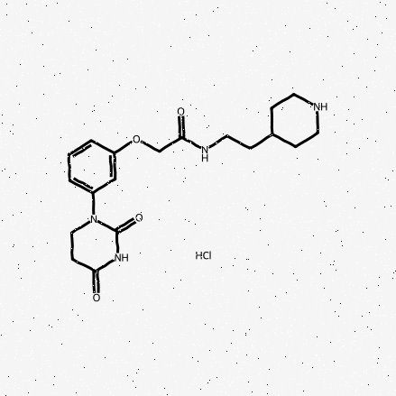 Cl.O=C(COc1cccc(N2CCC(=O)NC2=O)c1)NCCC1CCNCC1